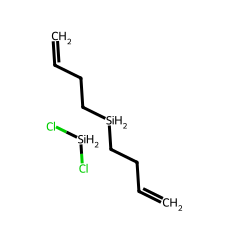 C=CCC[SiH2]CCC=C.Cl[SiH2]Cl